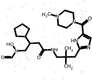 CN1CCN(C(=O)c2cnc(CC(C)(C)CNC(=O)CC(CN(O)C=O)C3CCCC3)[nH]2)CC1